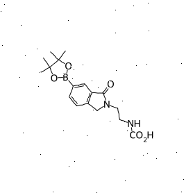 CC1(C)OB(c2ccc3c(c2)C(=O)N(CCNC(=O)O)C3)OC1(C)C